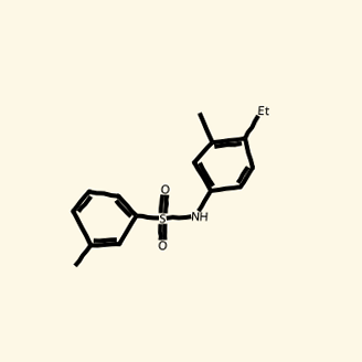 CCc1ccc(NS(=O)(=O)c2cccc(C)c2)cc1C